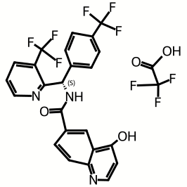 O=C(N[C@@H](c1ccc(C(F)(F)F)cc1)c1ncccc1C(F)(F)F)c1ccc2nccc(O)c2c1.O=C(O)C(F)(F)F